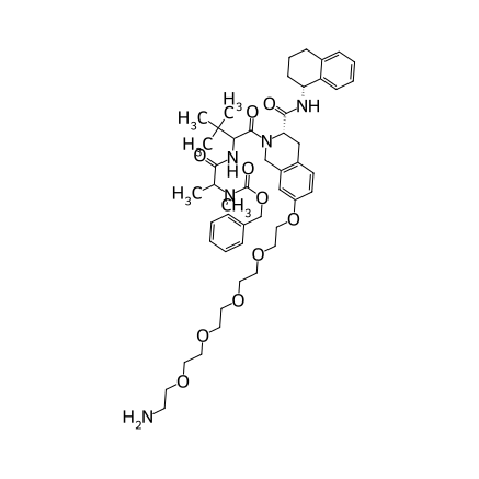 CC(C(=O)NC(C(=O)N1Cc2cc(OCCOCCOCCOCCOCCN)ccc2C[C@H]1C(=O)N[C@@H]1CCCc2ccccc21)C(C)(C)C)N(C)C(=O)OCc1ccccc1